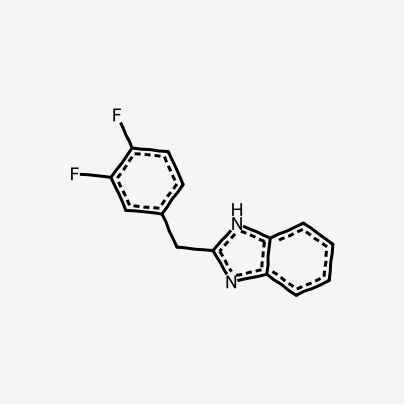 Fc1ccc(Cc2nc3ccccc3[nH]2)cc1F